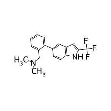 CN(C)Cc1ccccc1-c1ccc2[nH]c(C(F)(F)F)cc2c1